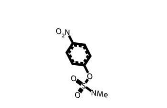 CNS(=O)(=O)Oc1ccc([N+](=O)[O-])cc1